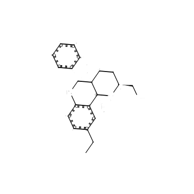 CCc1ccc2c(c1)[C@@H]1O[C@H](CO)CC[C@@H]1[C@@H](c1ccccc1)N2